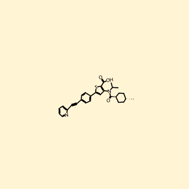 CC(C)N(c1cc(-c2ccc(C#Cc3ccccn3)cc2)sc1C(=O)O)C(=O)[C@H]1CC[C@H](C)CC1